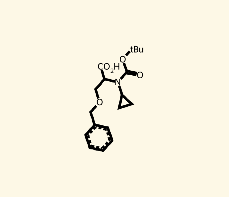 CC(C)(C)OC(=O)N(C1CC1)C(COCc1ccccc1)C(=O)O